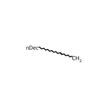 C=CCCCCC=CCCCCCCCCCCCCCCCCCCCC